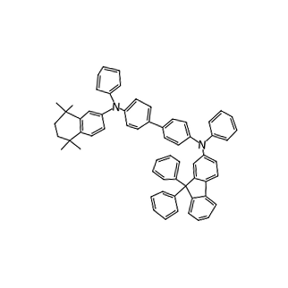 CC1(C)CCC(C)(C)c2cc(N(c3ccccc3)c3ccc(-c4ccc(N(c5ccccc5)c5ccc6c(c5)C(c5ccccc5)(c5ccccc5)c5ccccc5-6)cc4)cc3)ccc21